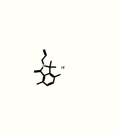 C=CCN1C(=C)c2c(C)ccc(C)c2C1(C)C.I